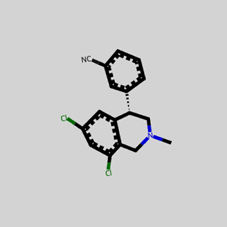 CN1Cc2c(Cl)cc(Cl)cc2[C@H](c2cccc(C#N)c2)C1